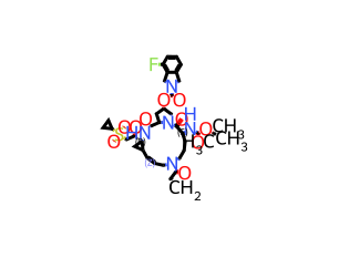 C=CC(=O)N1C/C=C\C2C[C@@]2(C(=O)CS(=O)(=O)C2CC2)NC(=O)C2CC(OC(=O)N3Cc4cccc(F)c4C3)CN2C(=O)[C@@H](NC(=O)OC(C)(C)C)CCC1